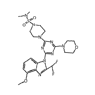 COc1cccc2c1nc(C(F)F)n2-c1nc(N2CCOCC2)nc(N2CCN(S(=O)(=O)N(C)C)CC2)n1